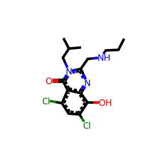 CCCNCc1nc2c(O)c(Cl)cc(Cl)c2c(=O)n1CC(C)C